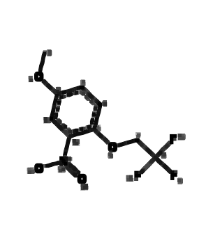 COc1ccc(OCC(F)(F)F)c([N+](=O)[O-])c1